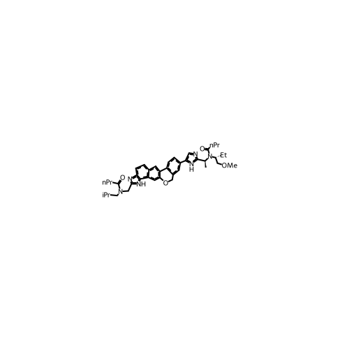 CCCC(=O)N(Cc1nc2ccc3cc4c(cc3c2[nH]1)OCc1cc(-c2cnc([C@H](C)N(C(=O)CCC)[C@H](CC)COC)[nH]2)ccc1-4)CC(C)C